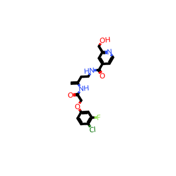 C=C(CCNC(=O)c1ccnc(CO)c1)NC(=O)COc1ccc(Cl)c(F)c1